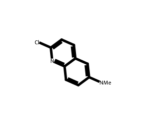 CNc1ccc2nc(Cl)ccc2c1